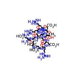 CC(C)[C@H](NC(=O)[C@@H](NC(=O)[C@H](CCC(=O)O)NC(=O)[C@H](CCCNC(=N)N)NC(=O)[C@H](CCCNC(=N)N)NC(=O)[C@H](CCCCN)NC(=O)[C@H](CCCCN)NC(=O)[C@@H](N)CCC(=O)O)[C@@H](C)O)C(=O)N[C@@H](CCC(=O)O)C(=O)N[C@@H](CCCNC(=N)N)C(=O)N[C@@H](CCC(=O)O)C(=O)O